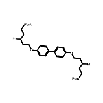 CCCC(C)CCC(CC)CCOc1ccc(-c2ccc(OCCC(CC)CCC(C)CCC)cc2)cc1